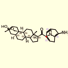 C[C@@]1(O)CC[C@@]2(CO)[C@@H](CC[C@H]3[C@@H]4CC[C@H](C(=O)CN/C5=C(/N)C/C=C\C=C/C5)[C@@]4(C)CC[C@@H]32)C1